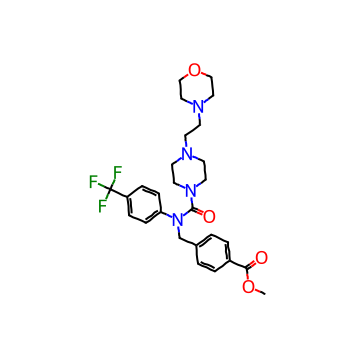 COC(=O)c1ccc(CN(C(=O)N2CCN(CCN3CCOCC3)CC2)c2ccc(C(F)(F)F)cc2)cc1